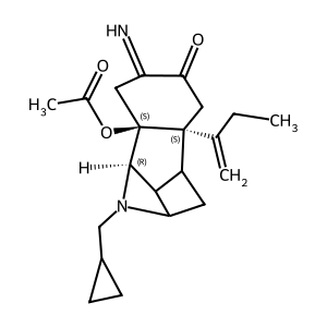 C=C(CC)[C@@]12CC(=O)C(=N)C[C@@]1(OC(C)=O)[C@H]1C3C(CC32)N1CC1CC1